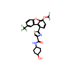 O=C(NC1CCC(O)CC1)c1csc(-c2ccc(OC(F)F)c3oc4ccc(C(F)(F)F)cc4c23)n1